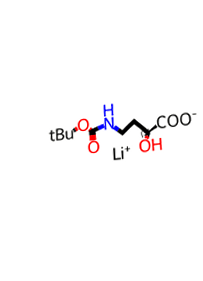 CC(C)(C)OC(=O)NCC[C@H](O)C(=O)[O-].[Li+]